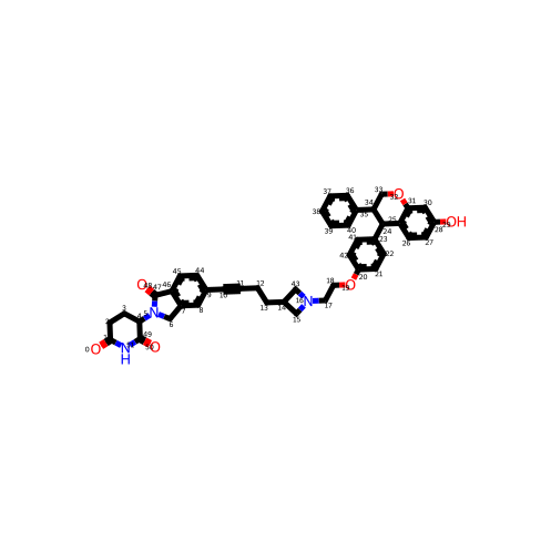 O=C1CCC(N2Cc3cc(C#CCCC4CN(CCOc5ccc(C6c7ccc(O)cc7OCC6c6ccccc6)cc5)C4)ccc3C2=O)C(=O)N1